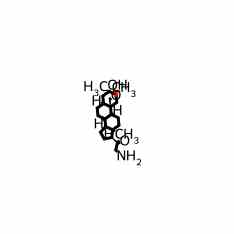 COC[C@]12CC[C@@](C)(O)C[C@@H]1CC[C@H]1[C@@H]3CC[C@H](C(=O)CN)[C@@]3(C)CC[C@@H]12